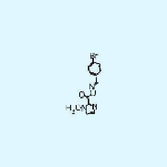 Cn1ccnc1C(=O)ON=Cc1ccc(Br)cc1